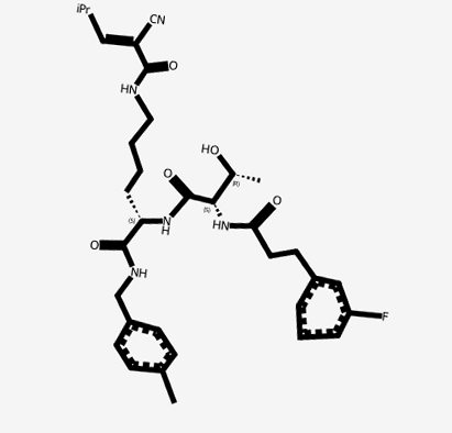 Cc1ccc(CNC(=O)[C@H](CCCCNC(=O)C(C#N)=CC(C)C)NC(=O)[C@@H](NC(=O)CCc2cccc(F)c2)[C@@H](C)O)cc1